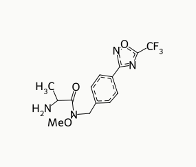 CON(Cc1ccc(-c2noc(C(F)(F)F)n2)cc1)C(=O)C(C)N